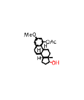 COc1cc2c(c(OC(C)=O)c1)[C@H]1CC[C@]3(C)[C@@H](O)CC[C@H]3[C@@H]1CC2